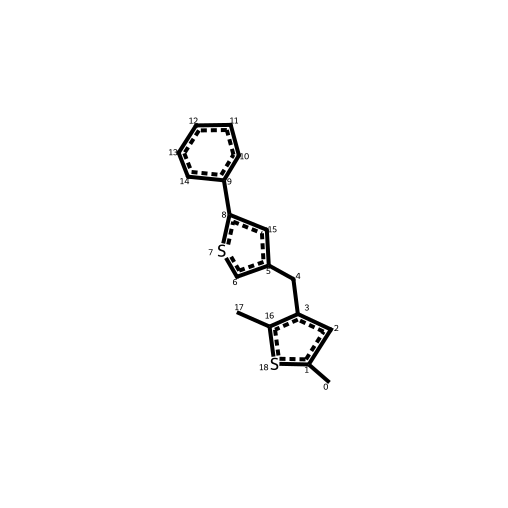 Cc1cc(Cc2csc(-c3ccccc3)c2)c(C)s1